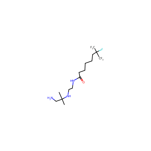 CC(C)(CN)NCCNC(=O)CCCCCC(F)(C(F)(F)F)C(F)(F)F